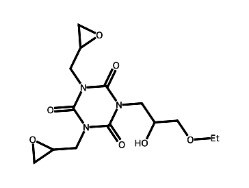 CCOCC(O)Cn1c(=O)n(CC2CO2)c(=O)n(CC2CO2)c1=O